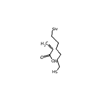 C=CC(=O)O.SCCCCCCS